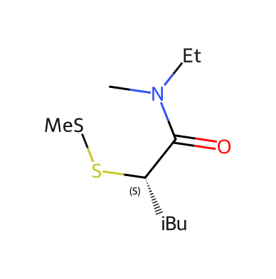 CCC(C)[C@H](SSC)C(=O)N(C)CC